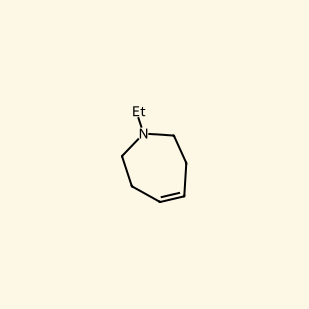 CCN1CCC=CCC1